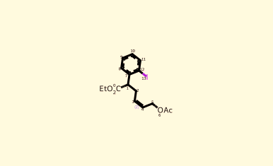 CCOC(=O)C(C/C=C\COC(C)=O)c1ccccc1I